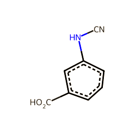 N#CNc1cccc(C(=O)O)c1